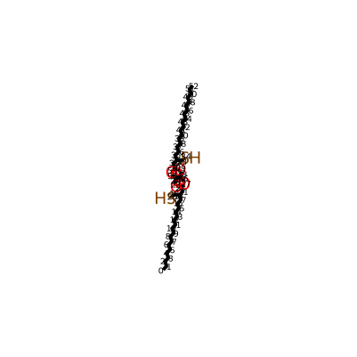 CCCCCCCCCCCCCCCCCCC(CS)CC1OCC2(CO1)COC(CC(CS)CCCCCCCCCCCCCCCCCC)OC2